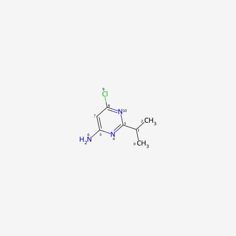 CC(C)c1nc(N)cc(Cl)n1